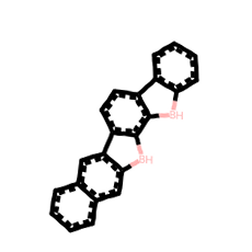 B1c2ccccc2-c2ccc3c(c21)Bc1cc2ccccc2cc1-3